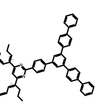 C=C/C=C(\CCC)c1cc(C(/C=C\C)=C/CC)nc(-c2ccc(-c3cc(-c4ccc(-c5ccccc5)cc4)cc(-c4ccc(-c5ccccc5)cc4)c3)cc2)n1